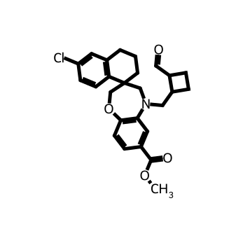 COC(=O)c1ccc2c(c1)N(CC1CCC1C=O)CC1(CCCc3cc(Cl)ccc31)CO2